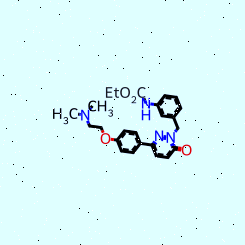 CCOC(=O)Nc1cccc(Cn2nc(-c3ccc(OCCN(C)C)cc3)ccc2=O)c1